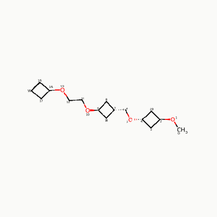 CO[C@H]1C[C@H](OC[C@H]2C[C@H](OCCOC3CCC3)C2)C1